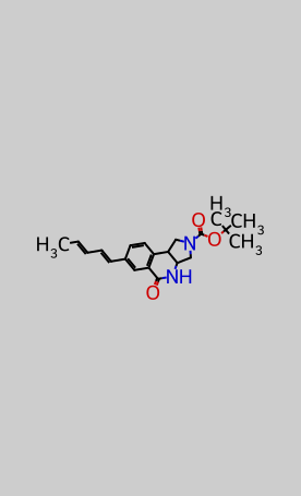 CC=CC=Cc1ccc2c(c1)C(=O)NC1CN(C(=O)OC(C)(C)C)CC21